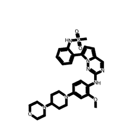 COc1cc(N2CCC(N3CCOCC3)CC2)ccc1Nc1ncc2ccc(-c3ccccc3NS(C)(=O)=O)n2n1